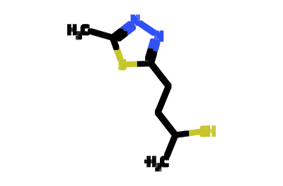 [CH2]C(S)CCc1nnc(C)s1